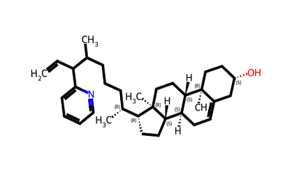 C=CC(c1ccccn1)C(C)CCC[C@@H](C)[C@H]1CC[C@H]2[C@@H]3CC=C4C[C@@H](O)CC[C@]4(C)[C@H]3CC[C@]12C